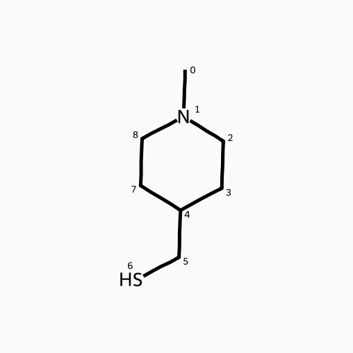 CN1CCC(CS)CC1